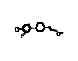 COCC=C[C@H]1CC[C@H](c2ccc(Cl)c(F)c2)CC1